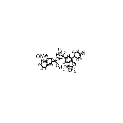 COc1cc(C(=O)NCC(C)(O)c2cc3c(c(-c4ccc(F)cc4)n2)OC[C@@]3(N)C(F)(F)F)cc2cccnc12